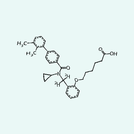 [2H]C([2H])(c1ccccc1OCCCCCC(=O)O)N(C(=O)c1ccc(-c2cccc(C)c2C)cc1)C1CC1